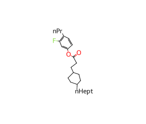 CCCCCCCC1CCC(CCC(=O)Oc2ccc(CCC)c(F)c2)CC1